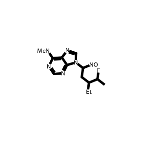 CCC(CC(N=O)n1cnc2c(NC)ncnc21)C(C)F